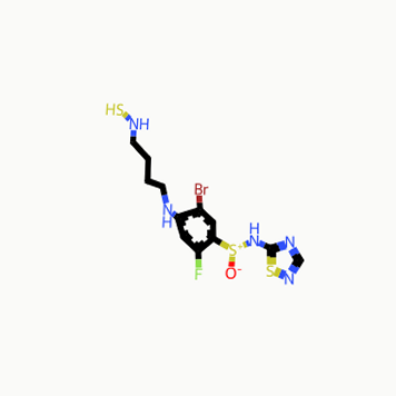 [O-][S+](Nc1ncns1)c1cc(Br)c(NCCCCNS)cc1F